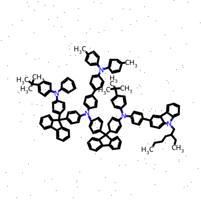 CCCCC(CC)Cn1c2ccccc2c2cc(-c3ccc(N(C4=CCC(C5(c6ccc(N(c7ccc(-c8ccc(N(c9ccc(C)cc9)c9ccc(C)cc9)cc8)cc7)c7ccc(C8(c9ccc(N(c%10ccccc%10)c%10ccc(C(C)(C)C)cc%10)cc9)c9ccccc9-c9ccccc98)cc7)cc6)c6ccccc6-c6ccccc65)C=C4)c4ccc(C(C)(C)C)cc4)cc3)ccc21